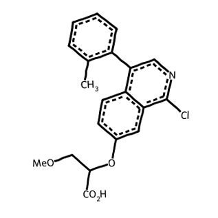 COCC(Oc1ccc2c(-c3ccccc3C)cnc(Cl)c2c1)C(=O)O